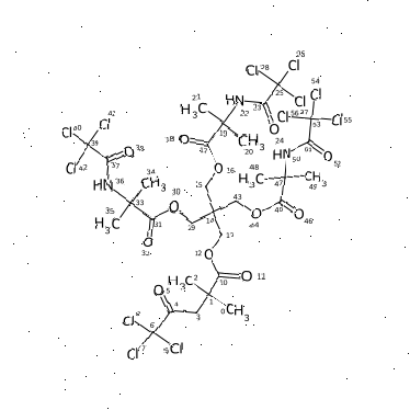 CC(C)(CC(=O)C(Cl)(Cl)Cl)C(=O)OCC(COC(=O)C(C)(C)NC(=O)C(Cl)(Cl)Cl)(COC(=O)C(C)(C)NC(=O)C(Cl)(Cl)Cl)COC(=O)C(C)(C)NC(=O)C(Cl)(Cl)Cl